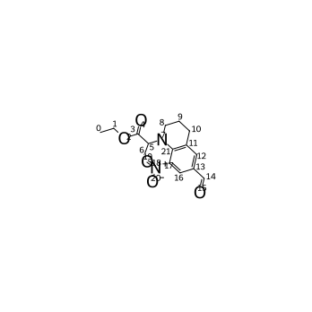 CCOC(=O)C(C)N1CCCc2cc(C=O)cc([N+](=O)[O-])c21